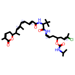 CC1=CCC(C(C)/C=C(C)/C=C\C=C\C(=O)NC(C(=O)N/C=C\CC(C/C=C(\C)Cl)OC(=O)NC(C)C)C(C)(C)C)OC1=O